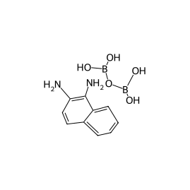 Nc1ccc2ccccc2c1N.OB(O)OB(O)O